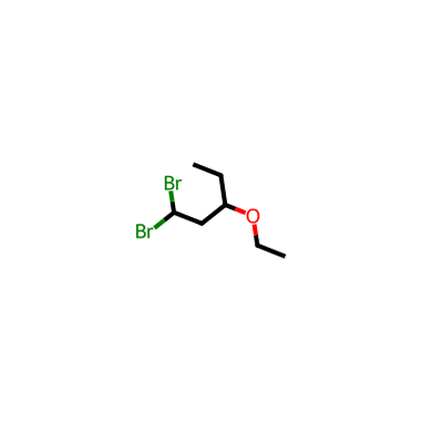 CCOC(CC)CC(Br)Br